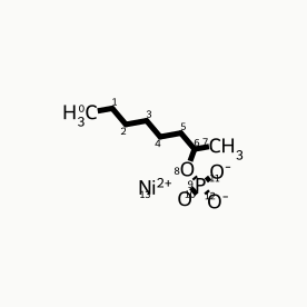 CCCCCCC(C)OP(=O)([O-])[O-].[Ni+2]